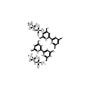 Cc1cc(C)nc(-c2cc(C)cc(C)n2)c1.Cc1cc(C)nc(-c2cc(C)cc(C)n2)c1.O=S(=O)([N-]S(=O)(=O)C(F)(F)F)C(F)(F)F.O=S(=O)([N-]S(=O)(=O)C(F)(F)F)C(F)(F)F.[Cu+2]